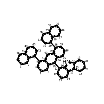 c1ccc2c(-c3cccc4c(-c5cccc6c5[nH]c5ccccc56)c5cccc(-c6cccc7ccccc67)c5cc34)cccc2c1